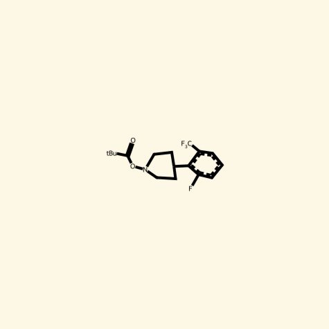 CC(C)(C)C(=O)ON1CCC(c2c(F)cccc2C(F)(F)F)CC1